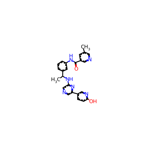 Cc1cncc(C(=O)Nc2cccc(C(C)Nc3cncc(-c4ccc(O)nc4)n3)c2)c1